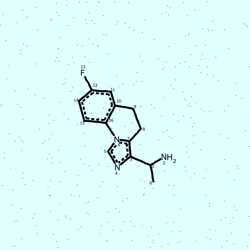 CC(N)c1ncn2c1CCc1cc(F)ccc1-2